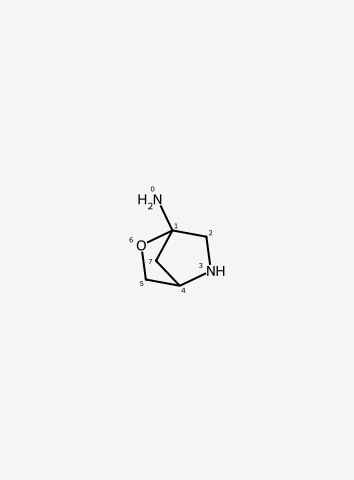 NC12CNC(CO1)C2